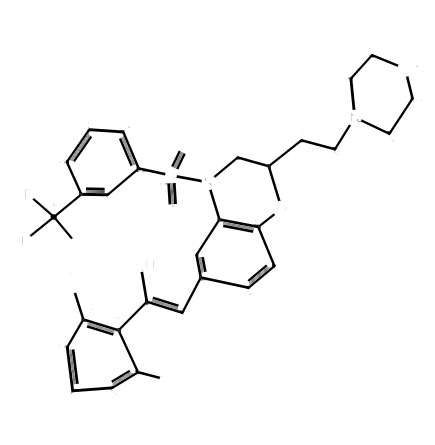 CC(=Cc1ccc2c(c1)N(S(=O)(=O)c1cccc(C(F)(F)F)c1)CC(CCN1CCOCC1)O2)c1c(F)cccc1Cl